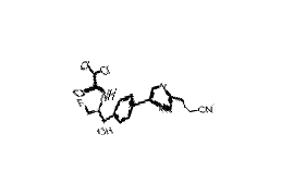 N#CCCc1ccc(-c2ccc([C@H](O)[C@@H](CF)NC(=O)C(Cl)Cl)cc2)cn1